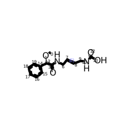 CO[C@H](C(=O)NC/C=C/CNC(=O)O)c1ccccc1